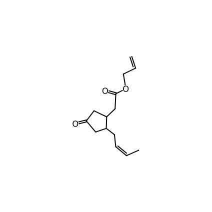 C=CCOC(=O)CC1CC(=O)CC1C/C=C\C